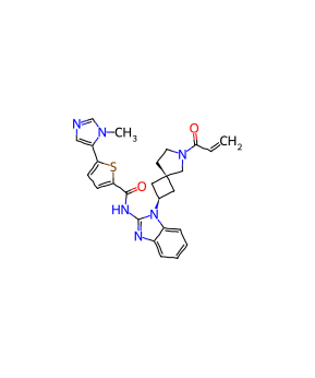 C=CC(=O)N1CC[C@]2(C1)C[C@H](n1c(NC(=O)c3ccc(-c4cncn4C)s3)nc3ccccc31)C2